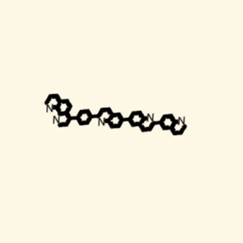 c1cnc2ccc(-c3ccc4cc(-c5ccc6nc(-c7ccc(-c8ccnc9c8ccc8cccnc89)cc7)ccc6c5)ccc4n3)cc2c1